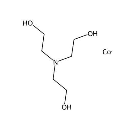 OCCN(CCO)CCO.[Co]